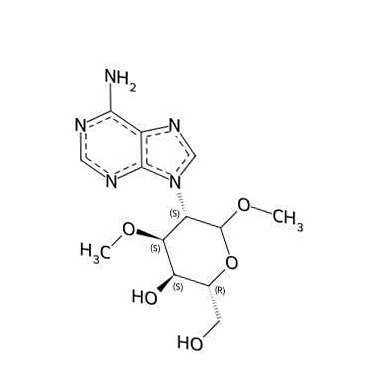 COC1O[C@H](CO)[C@@H](O)[C@@H](OC)[C@@H]1n1cnc2c(N)ncnc21